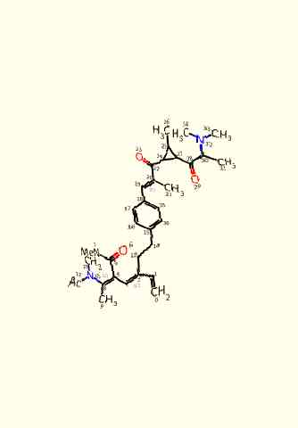 C=C/C(=C/C(C(=O)NC)=C(\C)N(C)C(C)=O)CCc1ccc(/C=C(\C)C(=O)C2C(C)C2C(=O)C(C)N(C)C)cc1